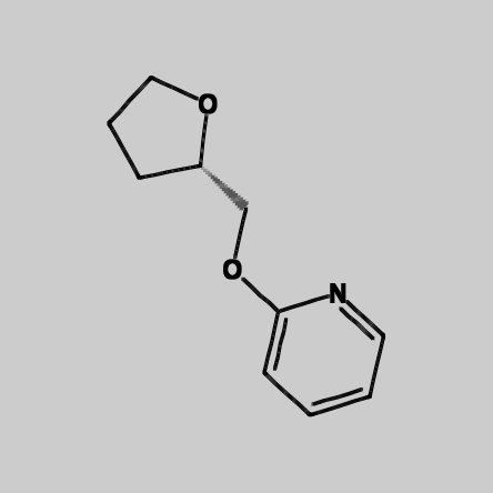 c1ccc(OC[C@@H]2CCCO2)nc1